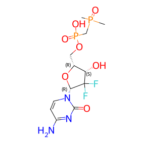 CP(C)(=O)CP(=O)(O)OC[C@H]1O[C@@H](n2ccc(N)nc2=O)C(F)(F)[C@H]1O